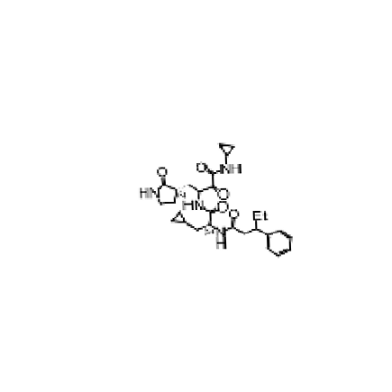 CCC(CC(=O)N[C@@H](CC1CC1)C(=O)NC(C[C@@H]1CCNC1=O)C(=O)C(=O)NC1CC1)c1ccccc1